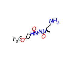 C=C(CCN)C(=O)NNC(=O)C1CC(OC(F)(F)F)C1